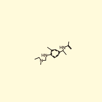 C=C(C)NC(C)c1ccc(NCN(C)CC)c(C)c1